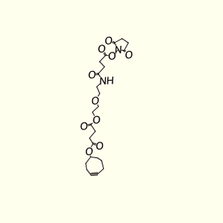 O=C(CCC(=O)ON1C(=O)CCC1=O)NCCOCCOC(=O)CCC(=O)OC1CCC#CCCC1